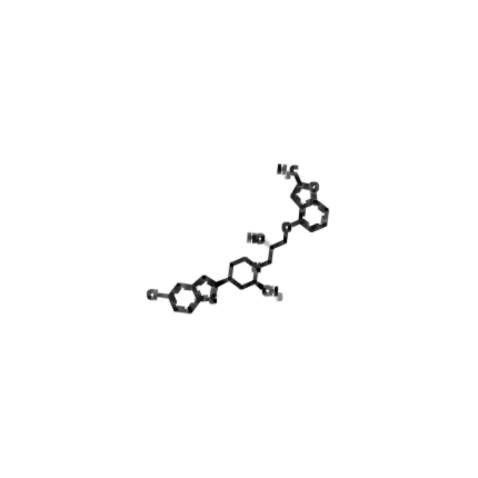 Cc1cc2c(OC[C@@H](O)CN3CC[C@H](c4cc5cc(Cl)ccc5s4)C[C@@H]3C)cccc2o1